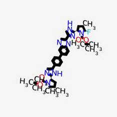 C[C@@H]1C[C@@H](c2ncc(-c3ccc(-c4ccc5nc(-c6c[nH]c([C@@H]7C[C@@H](C)[C@@H](F)N7C(=O)OC(C)(C)C)n6)cnc5c4)cc3)[nH]2)N(C(=O)OC(C)(C)C)[C@@H]1C